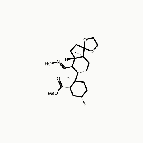 COC(=O)[C@H]1C[C@@H](C)CC[C@]1(C)[C@H]1CC[C@@]2(C)[C@@H](CCC23OCCO3)[C@@H]1C=NO